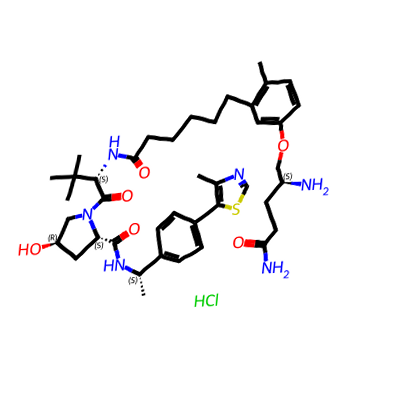 Cc1ccc(OC[C@@H](N)CCC(N)=O)cc1CCCCCC(=O)N[C@H](C(=O)N1C[C@H](O)C[C@H]1C(=O)N[C@@H](C)c1ccc(-c2scnc2C)cc1)C(C)(C)C.Cl